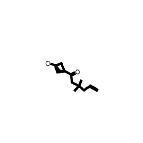 C=CCC(C)(C)CC(=O)C12CC(Cl)(C1)C2